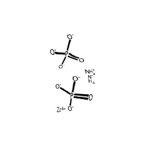 O=P([O-])([O-])[O-].O=P([O-])([O-])[O-].[NH4+].[NH4+].[Zr+4]